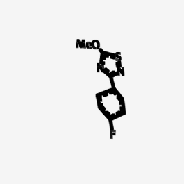 COc1nc(-c2ccc(F)cc2)ns1